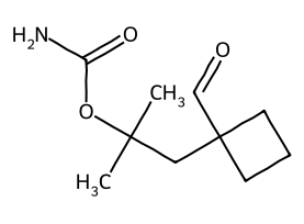 CC(C)(CC1(C=O)CCC1)OC(N)=O